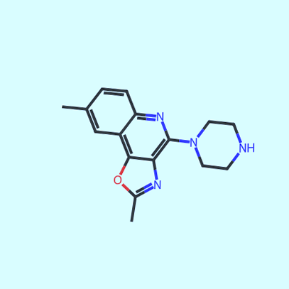 Cc1ccc2nc(N3CCNCC3)c3nc(C)oc3c2c1